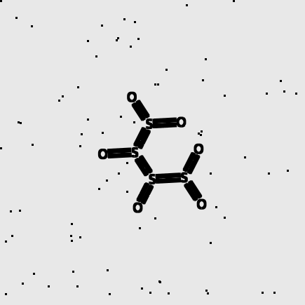 O=S(=O)=S(=O)=S(=O)=S(=O)=O